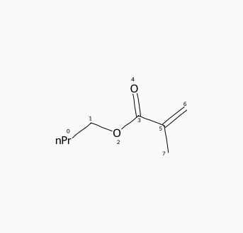 [CH2]CCCOC(=O)C(=C)C